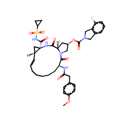 COc1ccc(CC(=O)N[C@H]2CCCCC/C=C/[C@@H]3C[C@@]3(C(=O)NS(=O)(=O)C3CC3)NC(=O)[C@@H]3C[C@@H](OC(=O)N4Cc5cccc(F)c5C4)CN3C2=O)cc1